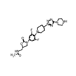 CC(=O)NCC1CN(c2cc(F)c(N3CCC(n4nnc(N5CCNCC5)n4)CC3)c(F)c2)C(=O)O1